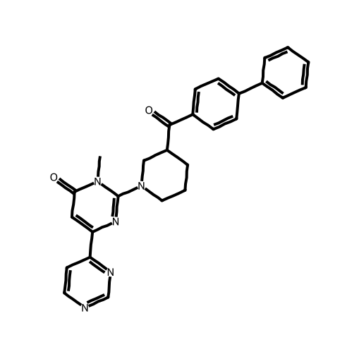 Cn1c(N2CCCC(C(=O)c3ccc(-c4ccccc4)cc3)C2)nc(-c2ccncn2)cc1=O